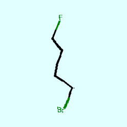 FCCC[CH]Br